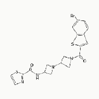 O=C(NC1CN(C2CN(C(=O)c3cc4ccc(Br)cc4s3)C2)C1)c1nccs1